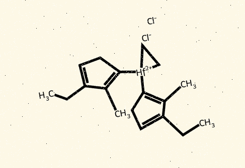 CCC1=CC[C]([Hf+2]2([C]3=C(C)C(CC)=CC3)[CH2][CH2]2)=C1C.[Cl-].[Cl-]